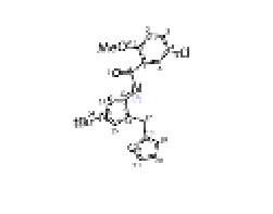 COc1ccc(Cl)cc1C(=O)/N=c1\sn(C(C)(C)C)cc1Cc1ccco1